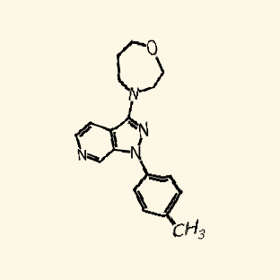 Cc1ccc(-n2nc(N3CCCOCC3)c3ccncc32)cc1